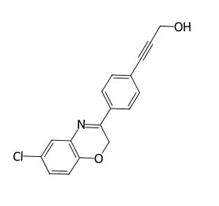 OCC#Cc1ccc(C2=Nc3cc(Cl)ccc3OC2)cc1